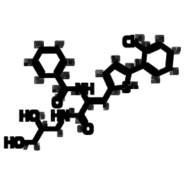 O=C(NCC(O)CO)C(=Cc1ccc(-c2ccccc2Cl)s1)NC(=O)c1ccccc1